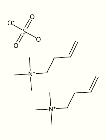 C=CCC[N+](C)(C)C.C=CCC[N+](C)(C)C.O=S(=O)([O-])[O-]